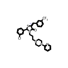 O=C1/C(=C\c2cccc(C(F)(F)F)c2)SC(c2cccc(Cl)c2)N1CCCN1CCN(c2ccccn2)CC1